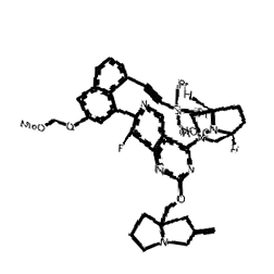 C=C1CN2CCCC2(COc2nc(N3C[C@H]4CC[C@@H](C3)N4C(=O)O)c3cnc(-c4cc(OCOC)cc5cccc(C#C[Si](C(C)C)(C(C)C)C(C)C)c45)c(F)c3n2)C1